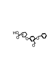 O=Cc1cc(OC2CCCN(C(=O)O)C2)ccc1OCc1ccccc1